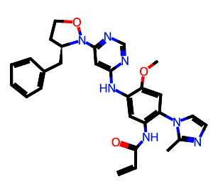 C=CC(=O)Nc1cc(Nc2cc(N3OCC[C@@H]3Cc3ccccc3)ncn2)c(OC)cc1-n1ccnc1C